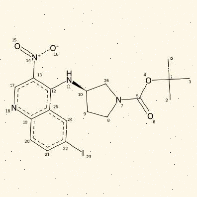 CC(C)(C)OC(=O)N1CC[C@@H](Nc2c([N+](=O)[O-])cnc3ccc(I)cc23)C1